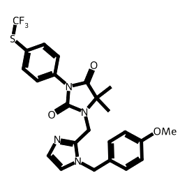 COc1ccc(Cn2ccnc2CN2C(=O)N(c3ccc(SC(F)(F)F)cc3)C(=O)C2(C)C)cc1